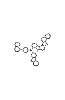 c1ccc2c(-c3ccc(N(c4ccc5c(c4)sc4ccccc45)c4cccc5c4sc4ccc6sc7c8ccccc8ccc7c6c45)cc3)cccc2c1